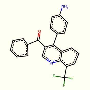 Nc1ccc(-c2c(C(=O)c3ccccc3)cnc3c(C(F)(F)F)cccc23)cc1